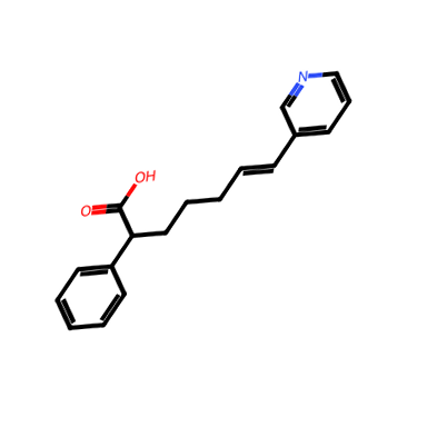 O=C(O)C(CCCC=Cc1cccnc1)c1ccccc1